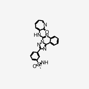 C[S@](=N)(=O)c1cccc(-c2nc3c4ccccc4nc(Nc4ccccnc4=O)n3n2)c1